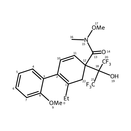 CCC1=C(c2ccccc2OC)C=CC(C(=O)N(C)OC)(C(O)(C(F)(F)F)C(F)(F)F)C1